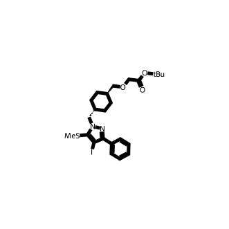 CSc1c(I)c(-c2ccccc2)nn1C[C@H]1CC[C@H](COCC(=O)OC(C)(C)C)CC1